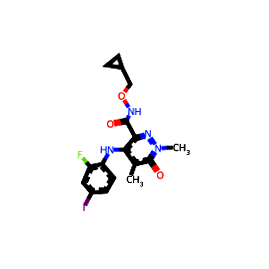 Cc1c(Nc2ccc(I)cc2F)c(C(=O)NOCC2CC2)nn(C)c1=O